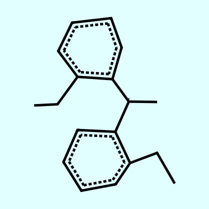 CCc1ccccc1[C](C)c1ccccc1CC